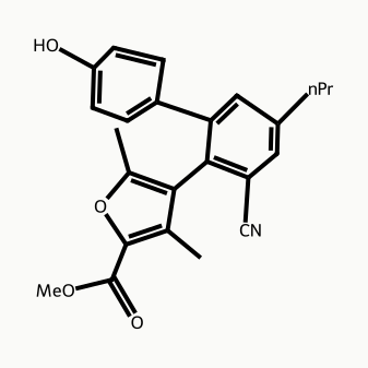 CCCc1cc(C#N)c(-c2c(C)oc(C(=O)OC)c2C)c(-c2ccc(O)cc2)c1